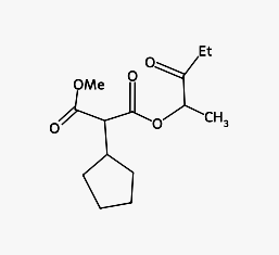 CCC(=O)C(C)OC(=O)C(C(=O)OC)C1CCCC1